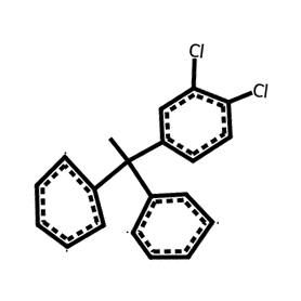 CC(c1[c]cc[c]c1)(c1[c]cc[c]c1)c1ccc(Cl)c(Cl)c1